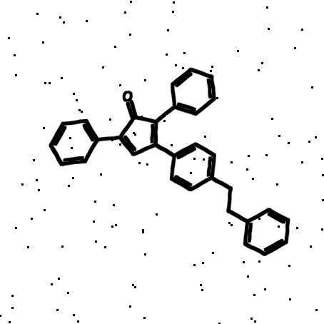 O=C1C(c2ccccc2)=CC(c2ccc(CCc3ccccc3)cc2)=C1c1ccccc1